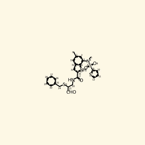 Cc1cc(N(C)S(=O)(=O)c2cccs2)c2[nH]c(C(=O)NCC(C=O)SCc3ccccc3)cc2c1